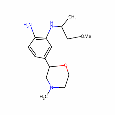 COCC(C)Nc1cc(C2CN(C)CCO2)ccc1N